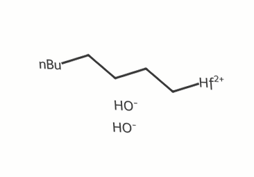 CCCCCCC[CH2][Hf+2].[OH-].[OH-]